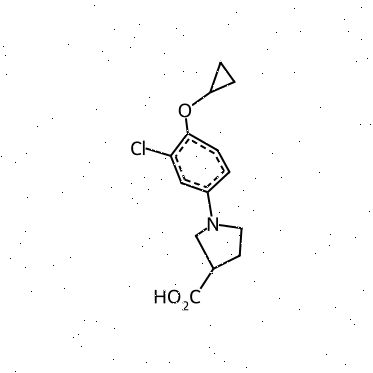 O=C(O)C1CCN(c2ccc(OC3CC3)c(Cl)c2)C1